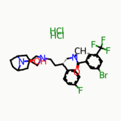 CN(C[C@@H](CCN1CC(N2C3CCC2CC(O)C3)C1)c1ccc(F)cc1)C(=O)c1cc(Br)cc(C(F)(F)F)c1.Cl.Cl